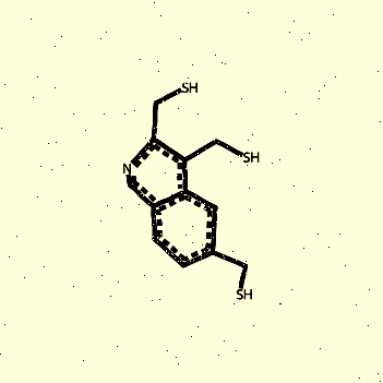 SCc1ccc2cnc(CS)c(CS)c2c1